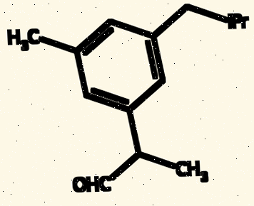 Cc1cc(CC(C)C)cc(C(C)C=O)c1